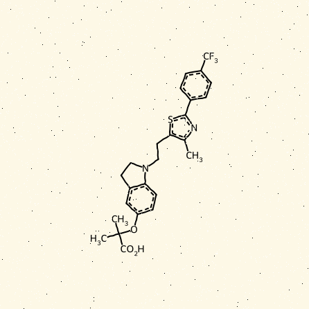 Cc1nc(-c2ccc(C(F)(F)F)cc2)sc1CCN1CCc2cc(OC(C)(C)C(=O)O)ccc21